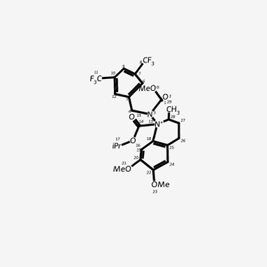 COC(=O)N(Cc1cc(C(F)(F)F)cc(C(F)(F)F)c1)[N+]1(C(=O)OC(C)C)c2cc(OC)c(OC)cc2CCC1C